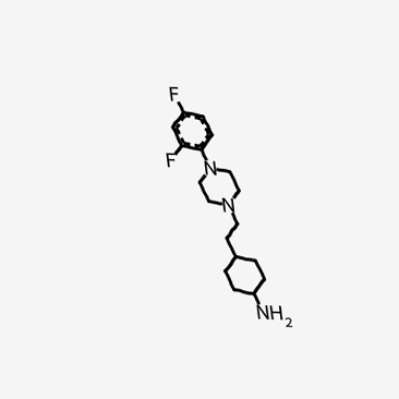 NC1CCC(CCN2CCN(c3ccc(F)cc3F)CC2)CC1